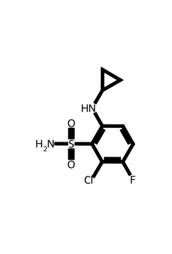 NS(=O)(=O)c1c(NC2CC2)ccc(F)c1Cl